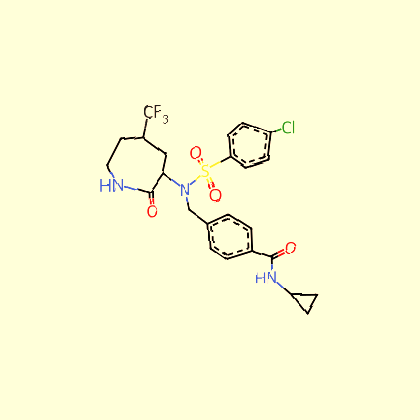 O=C(NC1CC1)c1ccc(CN(C2CC(C(F)(F)F)CCNC2=O)S(=O)(=O)c2ccc(Cl)cc2)cc1